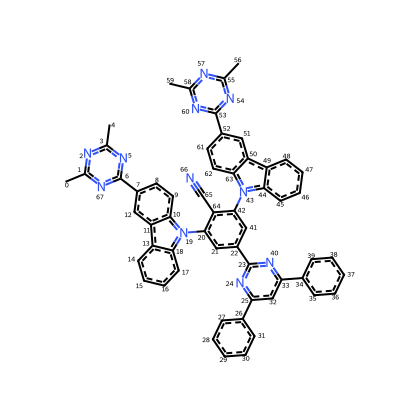 Cc1nc(C)nc(-c2ccc3c(c2)c2ccccc2n3-c2cc(-c3nc(-c4ccccc4)cc(-c4ccccc4)n3)cc(-n3c4ccccc4c4cc(-c5nc(C)nc(C)n5)ccc43)c2C#N)n1